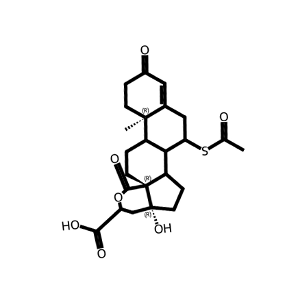 CC(=O)SC1CC2=CC(=O)CC[C@]2(C)C2CC[C@]34C(=O)OC(C(=O)O)C[C@]3(O)CCC4C12